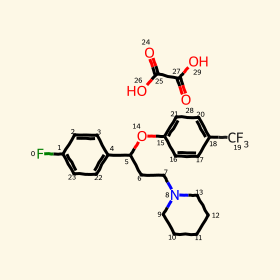 Fc1ccc(C(CCN2CCCCC2)Oc2ccc(C(F)(F)F)cc2)cc1.O=C(O)C(=O)O